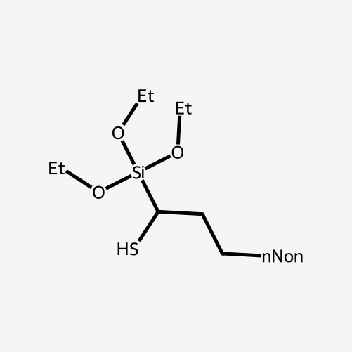 CCCCCCCCCCCC(S)[Si](OCC)(OCC)OCC